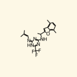 CC(C)=CN=c1nc(NC(C)c2cc3c(C)ccc(C)c3o2)nc(C(F)(F)F)[nH]1